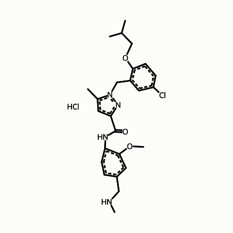 CNCc1ccc(NC(=O)c2cc(C)n(Cc3cc(Cl)ccc3OCC(C)C)n2)c(OC)c1.Cl